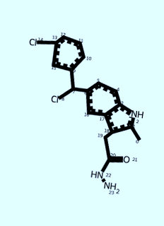 Cc1[nH]c2ccc(C(Cl)c3cccc(Cl)c3)cc2c1CC(=O)NN